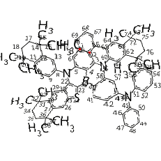 Cc1cc2c3c(c1)N(c1ccc4c(c1)C(C)(C)CCC4(C)C)c1c(sc4cc5c(cc14)C(C)(C)CCC5(C)C)B3c1ccc(N(c3ccccc3)c3ccccc3)cc1N2c1cc2c(cc1-c1ccccc1)C(C)(C)CCC2(C)C